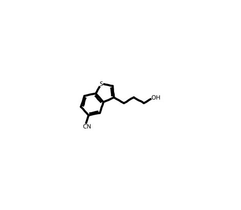 N#Cc1ccc2scc(CCCO)c2c1